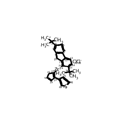 CC(C)(C)c1ccc2c(c1)Cc1c-2ccc(C(C)(C)C)[c]1[Zr+2][C]1=C(c2ccsc2)C=CC1.[Cl-].[Cl-]